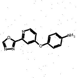 Nc1ccc(Oc2ccnc(-c3nnco3)c2)cc1